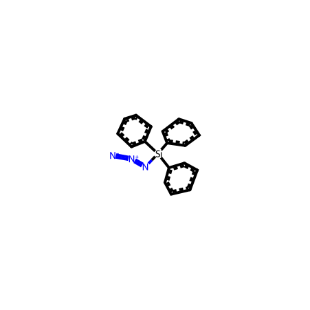 [N-]=[N+]=N[Si](c1ccccc1)(c1ccccc1)c1ccccc1